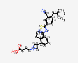 CCc1c(-c2nsc(-c3ccc(CC(C)C)c(C#N)c3)n2)cccc1C1CN(CCCC(=O)O)C1